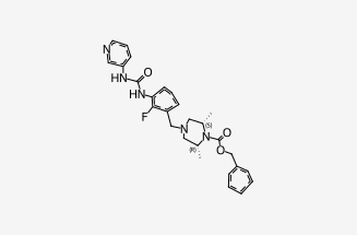 C[C@@H]1CN(Cc2cccc(NC(=O)Nc3cccnc3)c2F)C[C@H](C)N1C(=O)OCc1ccccc1